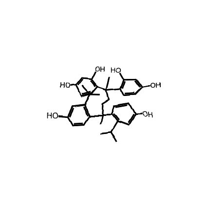 CC(C)c1cc(O)ccc1C(C)(CCC(C)(c1ccc(O)cc1O)c1ccc(O)cc1O)c1ccc(O)cc1C(C)C